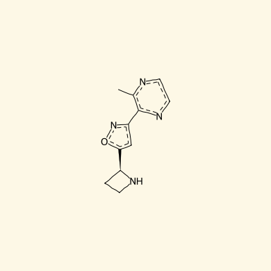 Cc1nccnc1-c1cc([C@@H]2CCN2)on1